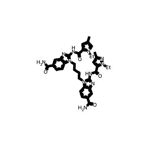 CCn1cc(C)cc1C(=O)Nc1nc2cc(C(N)=O)ccc2n1CCCCn1c(NC(=O)c2cc(C)nn2CC)nc2cc(C(N)=O)ccc21